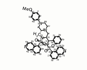 COc1ccc(N2CCN(CC(C(NS(=O)(=O)c3cccc4cnccc34)c3ccccc3)N(C)S(=O)(=O)c3cccc4cnccc34)CC2)cc1